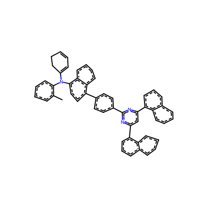 Cc1ccccc1N(C1=CC=CCC1)c1ccc(-c2ccc(-c3nc(-c4cccc5ccccc45)cc(-c4cccc5ccccc45)n3)cc2)c2ccccc12